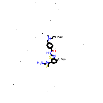 COCCN(C)Cc1ccc(C(=O)Nc2nc3c(OC)ccc(-c4csc(N)n4)c3s2)cc1